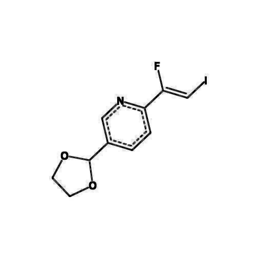 FC(=CI)c1ccc(C2OCCO2)cn1